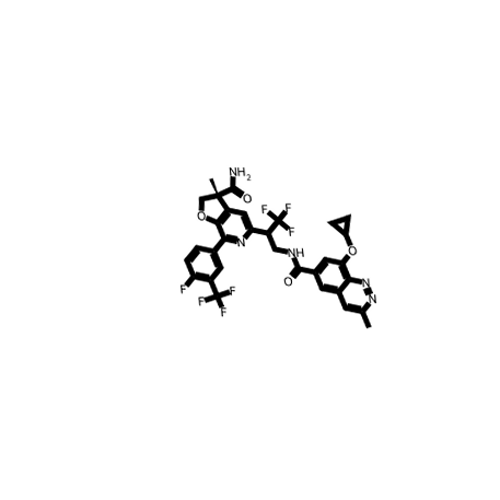 Cc1cc2cc(C(=O)NCC(c3cc4c(c(-c5ccc(F)c(C(F)(F)F)c5)n3)OC[C@]4(C)C(N)=O)C(F)(F)F)cc(OC3CC3)c2nn1